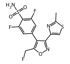 Cc1nc(-c2noc(CF)c2-c2cc(F)c(S(N)(=O)=O)c(F)c2)cs1